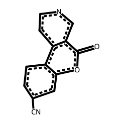 N#Cc1ccc2c(c1)oc(=O)c1cnccc12